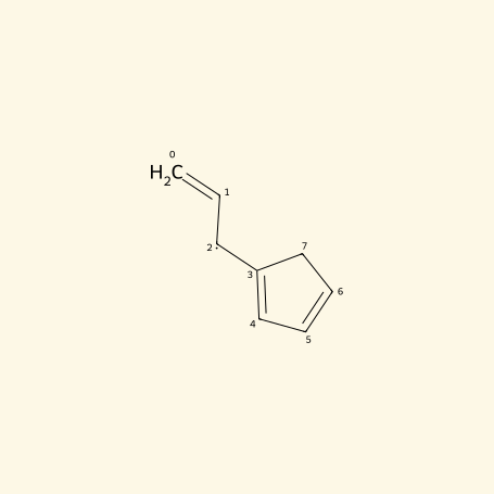 C=C[CH]C1=CC=CC1